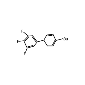 CCCCC1=CCC(c2cc(F)c(F)c(F)c2)C=C1